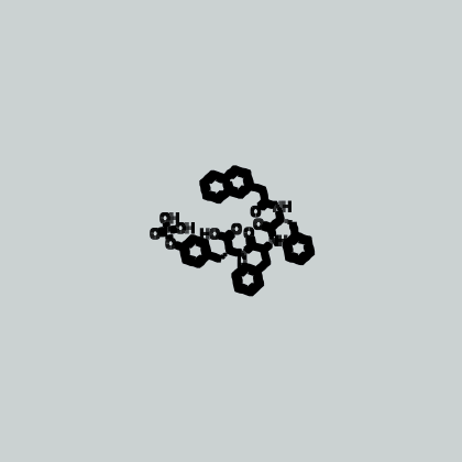 O=C(Cc1ccc2ccccc2c1)N[C@H](Cc1ccccc1)C(=O)NC(Cc1ccccc1)C(=O)N[C@H](Cc1ccc(OP(=O)(O)O)cc1)C(=O)O